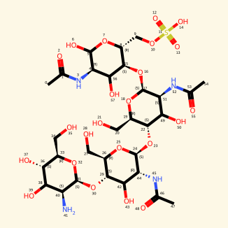 CC(=O)N[C@H]1C(O)O[C@H](COS(=O)(=O)O)[C@@H](O[C@@H]2O[C@H](CO)[C@@H](O[C@@H]3O[C@H](CO)[C@@H](O[C@@H]4O[C@H](CO)[C@@H](O)C(O)[C@@H]4N)C(O)[C@H]3NC(C)=O)C(O)[C@@H]2NC(C)=O)C1O